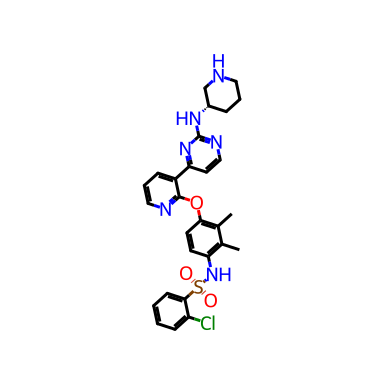 Cc1c(NS(=O)(=O)c2ccccc2Cl)ccc(Oc2ncccc2-c2ccnc(N[C@H]3CCCNC3)n2)c1C